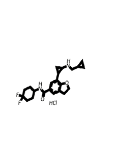 Cl.O=C(NC1CCC(F)(F)CC1)c1cc2c(c(C3CC3NCC3CC3)c1)OCC2